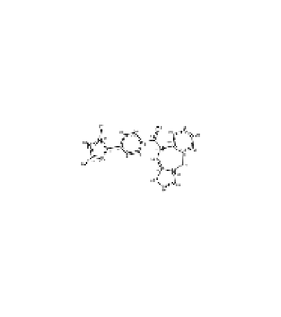 Cc1nc(-c2ccc(C(=O)N3C=C4CC=CN4Cc4ccccc43)cc2)n(C)n1